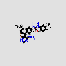 COCCc1sc2ncnc(N)c2c1-c1ccc(NC(=O)Nc2cccc(C(F)(F)F)c2)cc1